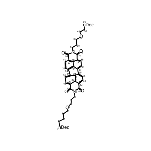 CCCCCCCCCCCCCCOCCCN1C(=O)c2ccc3c4ccc5c6c(ccc(c7ccc(c2c37)C1=O)c64)C(=O)N(CCCOCCCCCCCCCCCC)C5=O